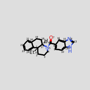 CC[C@]12CCCN(C(=O)c3ccc4[nH]cnc4c3)[C@@H]1CCc1ccccc12